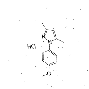 COc1ccc(-n2nc(C)cc2C)cc1.Cl